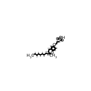 CCCCCCCCCC1(C)CCc2cc(OCCCS(=O)(=O)O)ccc2O1